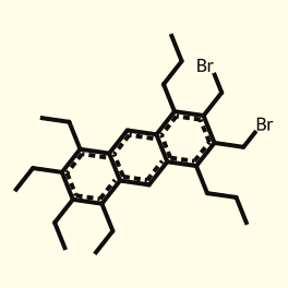 CCCc1c(CBr)c(CBr)c(CCC)c2cc3c(CC)c(CC)c(CC)c(CC)c3cc12